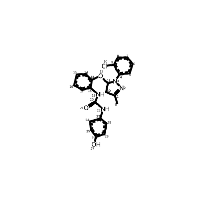 CC1=NN(c2ccccc2Cl)C(Oc2ccccc2NC(=O)Nc2ccc(O)cc2)C1